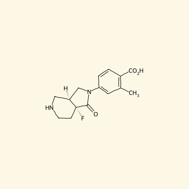 Cc1cc(N2C[C@@H]3CNCC[C@]3(F)C2=O)ccc1C(=O)O